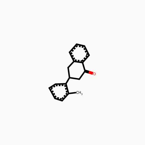 Cc1ccccc1C1CC(=O)c2ccccc2C1